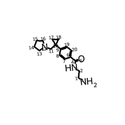 NCCNC(=O)c1ccc(C2(CN3CCCC3)CC2)cc1